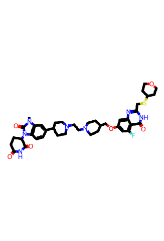 Cn1c(=O)n(C2CCC(=O)NC2=O)c2ccc(C3CCN(CCN4CCC(COc5cc(F)c6c(=O)[nH]c(CSC7CCOCC7)nc6c5)CC4)CC3)cc21